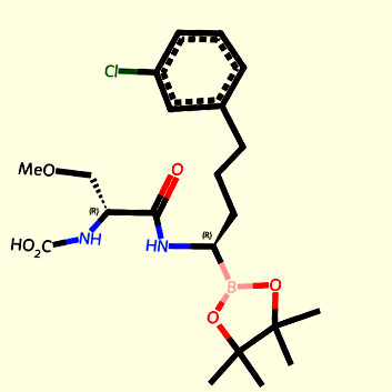 COC[C@@H](NC(=O)O)C(=O)N[C@@H](CCCc1cccc(Cl)c1)B1OC(C)(C)C(C)(C)O1